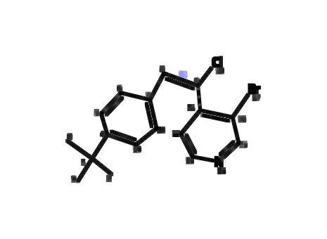 CC(C)(C)c1ccc(/C=C(/Cl)c2ccncc2Br)cc1